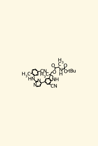 Cc1ccc(C#N)cc1Nc1nccc(-c2cc(C#N)c3c(c2)C(C)(COC(=O)[C@H](C)NC(=O)OC(C)(C)C)CN3)n1